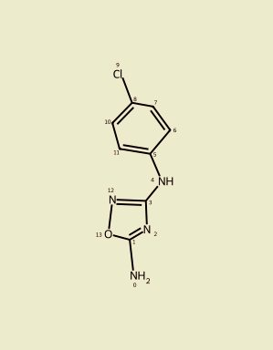 Nc1nc(Nc2ccc(Cl)cc2)no1